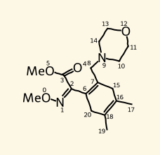 CON=C(C(=O)OC)C1=C(CN2CCOCC2)CC(C)=C(C)C1